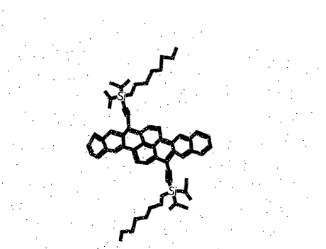 CCCCCCCC[Si](C#Cc1c2cc3ccccc3cc2c2ccc3c(C#C[Si](CCCCCCCC)(C(C)C)C(C)C)c4cc5ccccc5cc4c4ccc1c2c34)(C(C)C)C(C)C